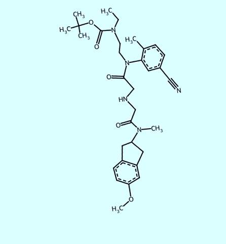 CCN(CCN(C(=O)CNCC(=O)N(C)C1Cc2ccc(OC)cc2C1)c1cc(C#N)ccc1C)C(=O)OC(C)(C)C